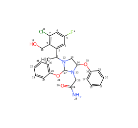 CC(c1cc(F)cc(Cl)c1CO)N1CC(Oc2ccccc2)N(CC(N)=O)C1Oc1ccccc1